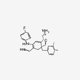 Cc1ccc(CC2(C=O)CC(C=N)=C(Nc3ccc(F)cc3)C=C2CCSN)cc1C